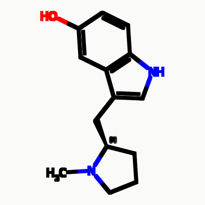 CN1CCC[C@@H]1Cc1c[nH]c2ccc(O)cc12